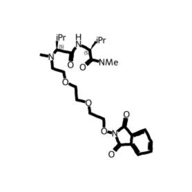 CNC(=O)[C@@H](NC(=O)[C@H](C(C)C)N(C)CCOCCOCCON1C(=O)c2ccccc2C1=O)C(C)C